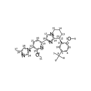 COc1ccc(C(C)(C)C)cc1[C@@H]1CCCn2cc(-c3ccc(-n4cnc(C)c4)c(OC)n3)nc21